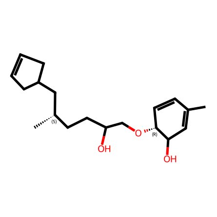 CC1=CC(O)[C@H](OCC(O)CC[C@H](C)CC2CC=CC2)C=C1